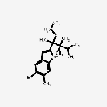 C[SiH2]OC(C)(c1cc2cc(Br)c(C)cc2[nH]1)C(C)(C)C(C)C